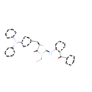 CCN1C(=O)/C(=C\c2ccc(N(c3ccccc3)c3ccccc3)cc2)O/C1=N\c1ccccc1C(=O)c1ccccc1